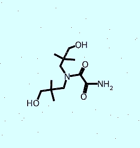 CC(C)(CO)CN(CC(C)(C)CO)C(=O)C(N)=O